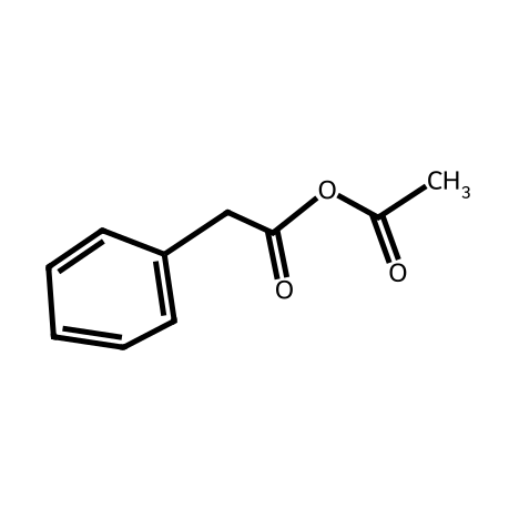 CC(=O)OC(=O)Cc1ccccc1